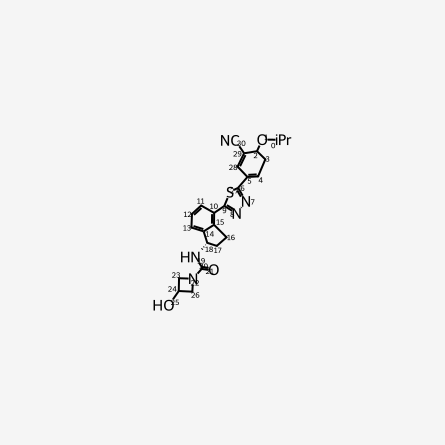 CC(C)OC1CC=C(c2nnc(-c3cccc4c3CC[C@@H]4NC(=O)N3CC(O)C3)s2)C=C1C#N